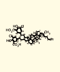 CC(C)CCC[C@@H](C)[C@H]1CC[C@H]2[C@@H]3CC[C@H]4C(CCCCc5cc(Cl)c(O)c(C(=O)O)c5)(CCCCc5cc(Cl)c(O)c(C(=O)O)c5)CCC[C@]4(C)[C@H]3CC[C@]12C